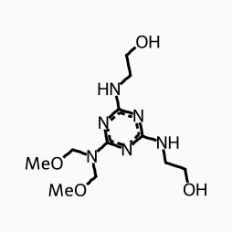 COCN(COC)c1nc(NCCO)nc(NCCO)n1